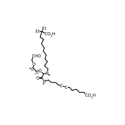 CCC(CC)(CCCCCCCCCCN(C)C(O[C@H](C)[C@@H](C)OCC=O)C(=O)N(C)CCCCCCCCCCCC(=O)O)C(=O)O